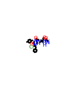 CN[C@@H](C)C(=O)N[C@H](C=O)C(C)(C)CN1CC(=O)N2[C@@H]1CN(C(Cl)Cc1ccccc1)C(=O)[C@@H]2Cc1ccc(C)cc1